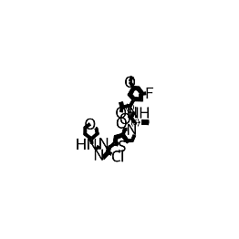 C#C[C@@H](C(=O)N[C@H](C(=C)O)c1cc(F)cc(OC)c1)N1CCc2sc(-c3nc(NC4CCOCC4)ncc3Cl)cc2C1=O